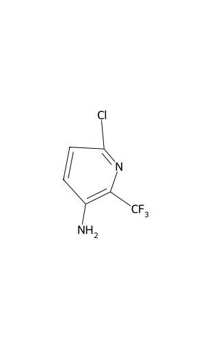 Nc1ccc(Cl)nc1C(F)(F)F